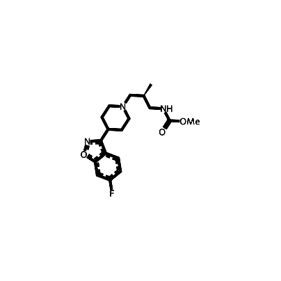 COC(=O)NC[C@H](C)CN1CCC(c2noc3cc(F)ccc23)CC1